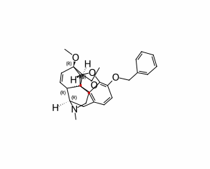 CO[C@]12C=C[C@@]3(C[C@@H]1C(C)=O)[C@H]1Cc4ccc(OCc5ccccc5)c5c4C3(CCN1C)[C@H]2O5